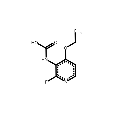 CCOc1ccnc(F)c1NC(=O)O